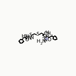 C=C(CCSCCc1nnc(NC(=O)Cc2ccccc2)s1)S/C(=N\N)NC(=O)Cc1ccccc1